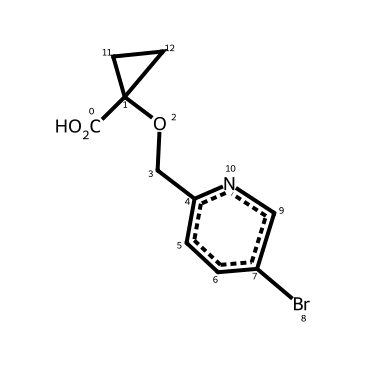 O=C(O)C1(OCc2ccc(Br)cn2)CC1